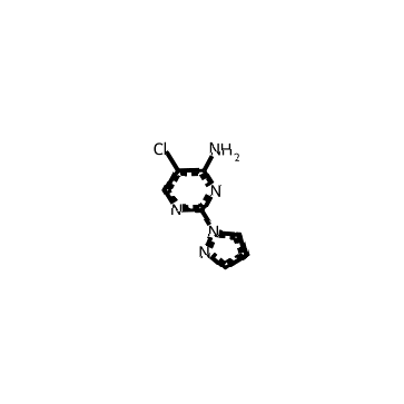 Nc1nc(-n2cccn2)ncc1Cl